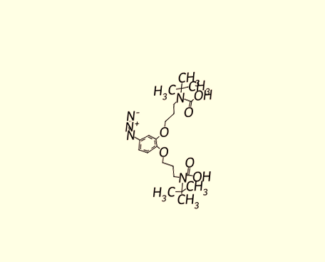 CC(C)(C)N(CCCOc1ccc(N=[N+]=[N-])cc1OCCCN(C(=O)O)C(C)(C)C)C(=O)O